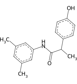 Cc1cc(C)cc(NC(=O)C(C)c2ccc(O)cc2)c1